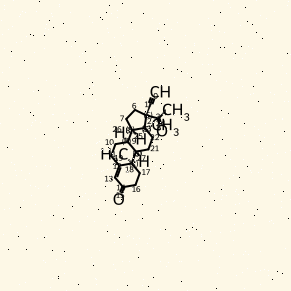 C#C[C@]1(C(C)=O)CC[C@H]2[C@@H]3CCC4=CC(=O)CC[C@]4(C)[C@H]3CC[C@@]21C